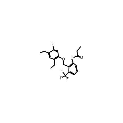 CCC(=O)Oc1cccc(C(F)(F)F)c1COc1cc(F)c(CC)cc1CC